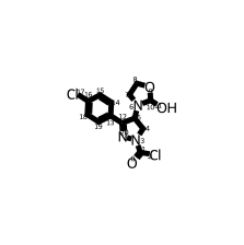 O=C(Cl)N1CC(N2CCOC2O)C(c2ccc(Cl)cc2)=N1